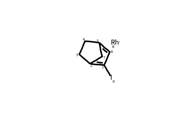 IC1=C2CCC(=C1)C2.[Rh]